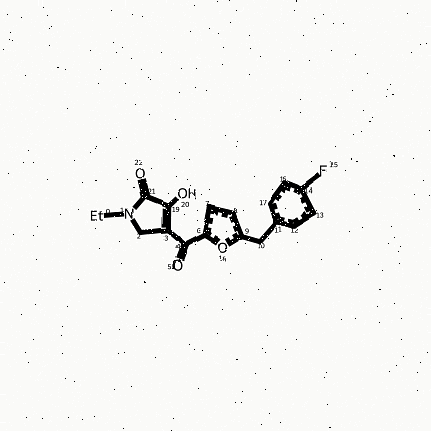 CCN1CC(C(=O)c2ccc(Cc3ccc(F)cc3)o2)=C(O)C1=O